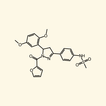 COc1ccc(OC)c(C2CC(c3ccc(NS(C)(=O)=O)cc3)=NN2C(=O)c2ccco2)c1